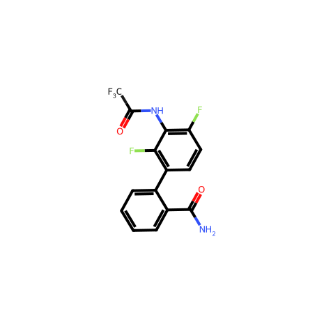 NC(=O)c1ccccc1-c1ccc(F)c(NC(=O)C(F)(F)F)c1F